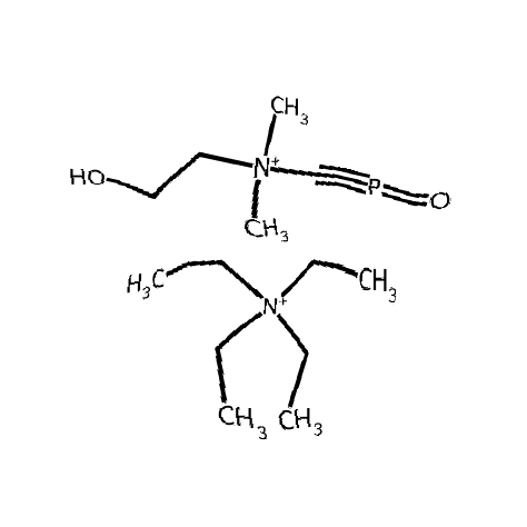 CC[N+](CC)(CC)CC.C[N+](C)(C#P=O)CCO